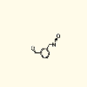 O=C=NCc1cccc(C=O)c1